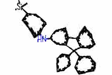 C[Si](C)(C)c1ccc(Nc2ccc3c(c2)C(c2ccccc2)(c2ccccc2)c2ccccc2-3)cc1